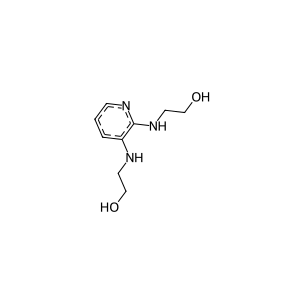 OCCNc1cccnc1NCCO